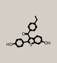 CCc1ccc(C(=O)c2c(-c3ccc(O)cc3)sc3cc(O)ccc23)cc1